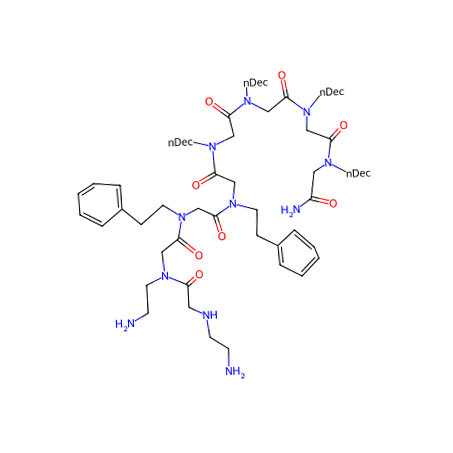 CCCCCCCCCCN(CC(N)=O)C(=O)CN(CCCCCCCCCC)C(=O)CN(CCCCCCCCCC)C(=O)CN(CCCCCCCCCC)C(=O)CN(CCc1ccccc1)C(=O)CN(CCc1ccccc1)C(=O)CN(CCN)C(=O)CNCCN